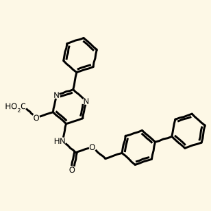 O=C(O)Oc1nc(-c2ccccc2)ncc1NC(=O)OCc1ccc(-c2ccccc2)cc1